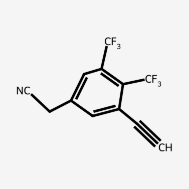 C#Cc1cc(CC#N)cc(C(F)(F)F)c1C(F)(F)F